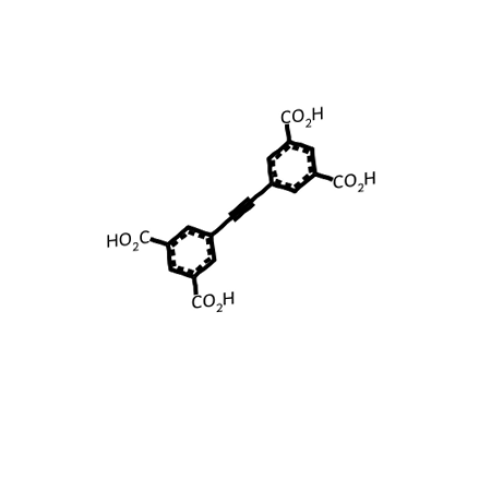 O=C(O)c1cc(C#Cc2cc(C(=O)O)cc(C(=O)O)c2)cc(C(=O)O)c1